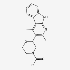 CCC(=O)N1CCOC(c2c(C)nc3[nH]c4ccccc4c3c2C)C1